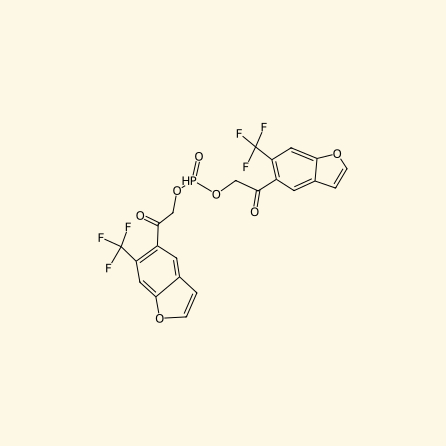 O=C(CO[PH](=O)OCC(=O)c1cc2ccoc2cc1C(F)(F)F)c1cc2ccoc2cc1C(F)(F)F